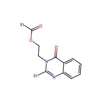 CCC(=O)OCCn1c(CC)nc2ccccc2c1=O